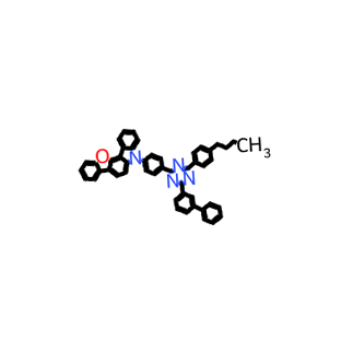 CCCCc1ccc(-c2nc(-c3ccc(-n4c5ccccc5c5c6oc7ccccc7c6ccc54)cc3)nc(-c3cccc(-c4ccccc4)c3)n2)cc1